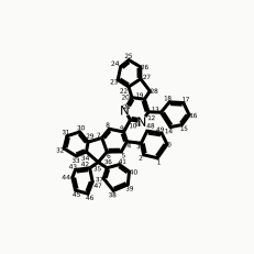 c1ccc(-c2cc3c(cc2-c2nc(-c4ccccc4)c4c(n2)-c2ccccc2C4)-c2ccccc2C3(c2ccccc2)c2ccccc2)cc1